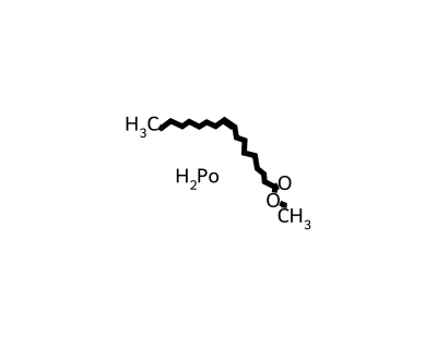 CCCCCCCC/C=C\CCCCCCCC(=O)OCC.[PoH2]